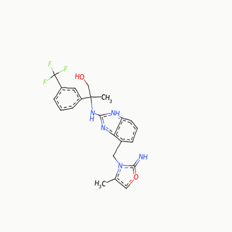 Cc1coc(=N)n1Cc1cccc2[nH]c(NC(C)(CO)c3cccc(C(F)(F)F)c3)nc12